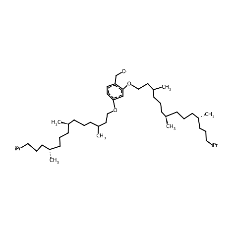 CC(C)CCC[C@@H](C)CCC[C@@H](C)CCCC(C)CCOc1ccc(C[O])c(OCCC(C)CCC[C@H](C)CCC[C@H](C)CCCC(C)C)c1